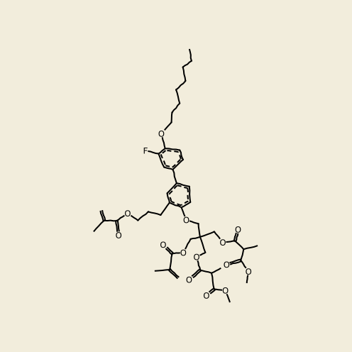 C=C(C)C(=O)OCCCc1cc(-c2ccc(OCCCCCCCC)c(F)c2)ccc1OCC(COC(=O)C(=C)C)(COC(=O)C(C)C(=O)OC)COC(=O)C(C)C(=O)OC